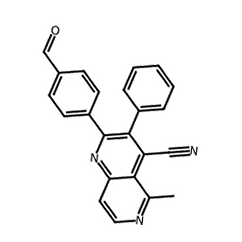 Cc1nccc2nc(-c3ccc(C=O)cc3)c(-c3ccccc3)c(C#N)c12